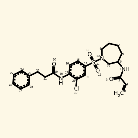 C=CC(=O)NC1CCCCN(S(=O)(=O)c2ccc(NC(=O)CCc3ccccc3)c(Cl)c2)C1